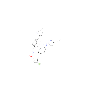 O=C(N(CC12CCC(c3ccc(C(F)(F)F)cn3)(CC1)CC2)c1cccc(Nc2ccc(C3CC3)cn2)c1)C12CC(F)(C1)C2